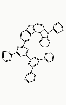 C1=CC2C(c3ccccc3N2c2ccccc2)c2c1oc1ccc(-c3nc(-c4ccccc4)nc(-c4cc(-c5ccccc5)cc(-c5ccccc5)c4)n3)cc21